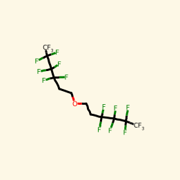 FC(F)(F)C(F)(F)C(F)(F)C(F)(F)CCOCCC(F)(F)C(F)(F)C(F)(F)C(F)(F)F